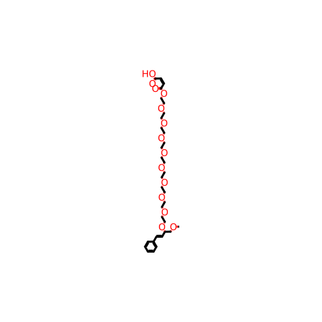 COCC(C=Cc1ccccc1)OCCOCCOCCOCCOCCOCCOCCOCCOCCOC(=O)/C=C\C(=O)O